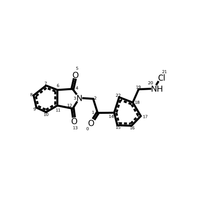 O=C(CN1C(=O)c2ccccc2C1=O)c1cccc(CNCl)c1